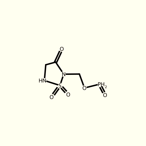 O=[PH2]OCN1C(=O)CNS1(=O)=O